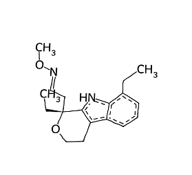 CCc1cccc2c3c([nH]c12)[C@@](CC)(CC=NOC)OCC3